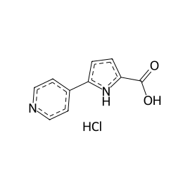 Cl.O=C(O)c1ccc(-c2ccncc2)[nH]1